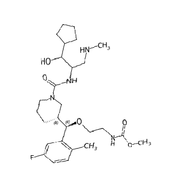 CNCC(NC(=O)N1CCC[C@@H]([C@@H](OCCNC(=O)OC)c2cc(F)ccc2C)C1)C(O)C1CCCC1